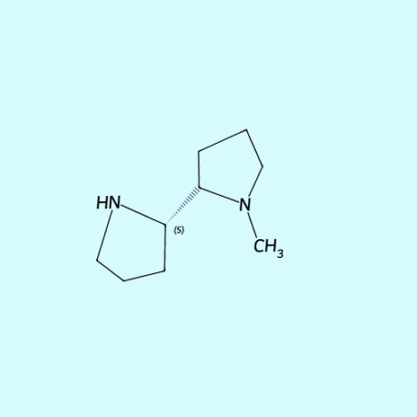 CN1CCCC1[C@@H]1CCCN1